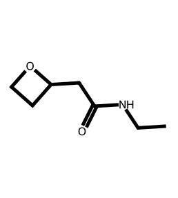 CCNC(=O)CC1CCO1